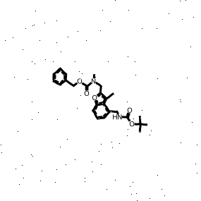 Cc1c(CN(C)C(=O)OCc2ccccc2)oc2cccc(CNC(=O)OC(C)(C)C)c12